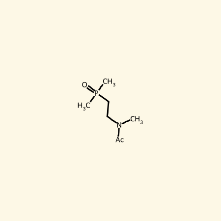 CC(=O)N(C)CCP(C)(C)=O